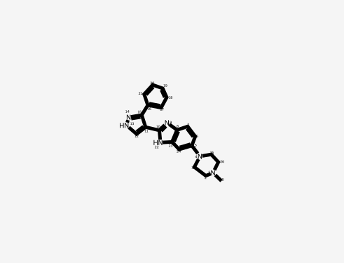 CN1CCN(c2ccc3nc(-c4c[nH]nc4-c4ccccc4)[nH]c3c2)CC1